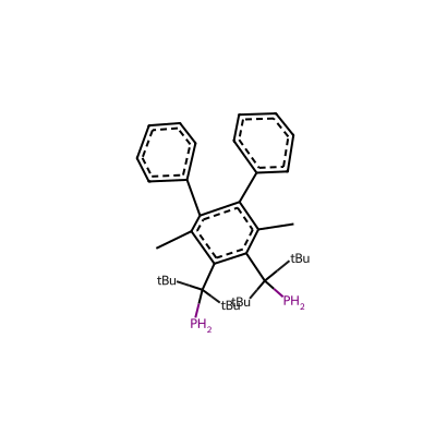 Cc1c(-c2ccccc2)c(-c2ccccc2)c(C)c(C(P)(C(C)(C)C)C(C)(C)C)c1C(P)(C(C)(C)C)C(C)(C)C